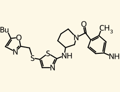 Cc1cc(N)ccc1C(=O)N1CCCC(Nc2ncc(SCc3ncc(C(C)(C)C)o3)s2)C1